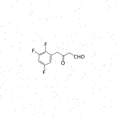 O=CCC(=O)Cc1cc(F)cc(F)c1F